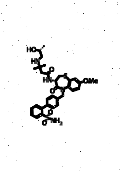 COc1ccc2c(c1)SC[C@@H](NC(=O)CC(C)(C)NC[C@@H](C)O)C(=O)N2Cc1ccc(-c2ccccc2S(N)(=O)=O)cc1